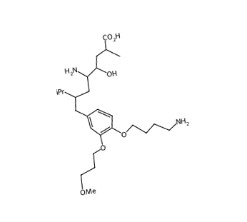 COCCCOc1cc(CC(CC(N)C(O)CC(C)C(=O)O)C(C)C)ccc1OCCCCN